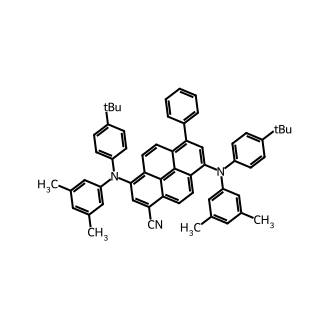 Cc1cc(C)cc(N(c2ccc(C(C)(C)C)cc2)c2cc(C#N)c3ccc4c(N(c5ccc(C(C)(C)C)cc5)c5cc(C)cc(C)c5)cc(-c5ccccc5)c5ccc2c3c54)c1